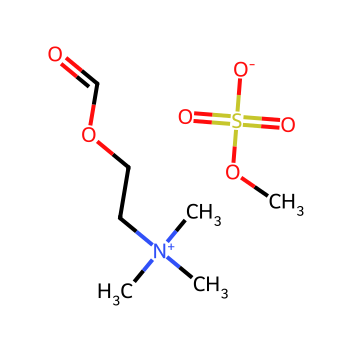 COS(=O)(=O)[O-].C[N+](C)(C)CCOC=O